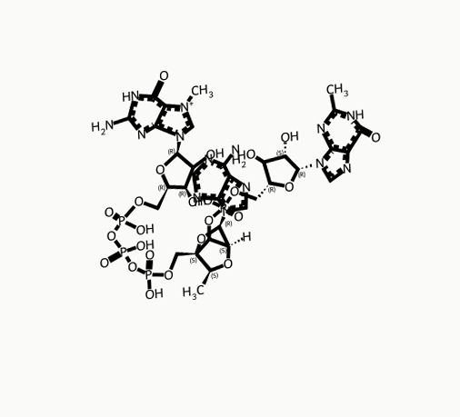 Cc1nc2c(ncn2[C@@H]2O[C@H](COP(=O)(O)OC3[C@@H]4O[C@@H](C)[C@]3(COP(=O)(O)OP(=O)(O)OP(=O)(O)OC[C@H]3O[C@@H](n5c[n+](C)c6c(=O)[nH]c(N)nc65)C(O)[C@H]3O)O[C@H]4n3cnc4c(N)ncnc43)C(O)[C@@H]2O)c(=O)[nH]1